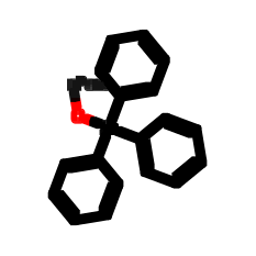 CCCCC[O][Sn]([c]1ccccc1)([c]1ccccc1)[c]1ccccc1